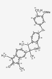 COc1cc(Oc2ccc(C(C)C(O)(c3ccc4c(c3)n(C)c(=O)n4C)C(F)(F)F)c(Cl)c2)ccc1C(=O)O